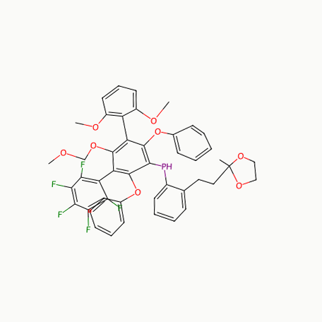 COCOc1c(-c2c(OC)cccc2OC)c(Oc2ccccc2)c(Pc2ccccc2CCC2(C)OCCO2)c(Oc2ccccc2)c1-c1c(F)c(F)c(F)c(F)c1F